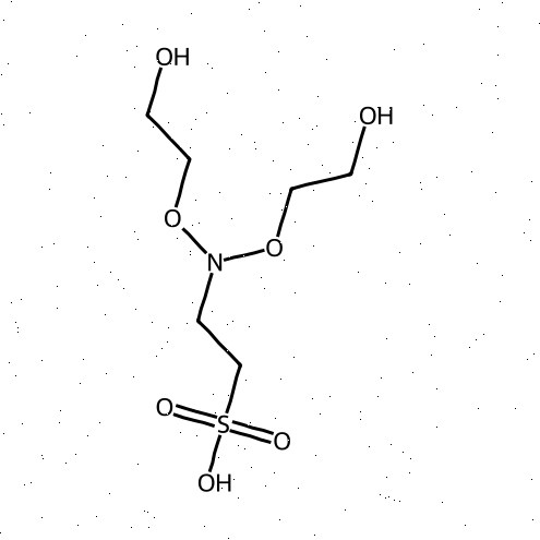 O=S(=O)(O)CCN(OCCO)OCCO